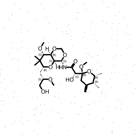 C=C1C[C@](OC)([C@H](O)C(=O)N[C@H]2OCO[C@H]3[C@@H]2O[C@H](C[C@@H](CO)OC)C(C)(C)[C@@H]3OC)O[C@H](C)[C@@H]1C